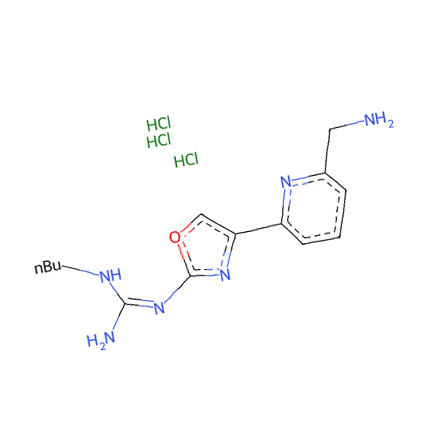 CCCCNC(N)=Nc1nc(-c2cccc(CN)n2)co1.Cl.Cl.Cl